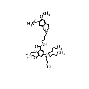 CCC[CH2][Sn]([CH2]CCC)([CH2]CCC)[c]1cc(OC)c(OC)c(C(=O)NCCCCN2CCc3cc(OC)c(OC)cc3C2)c1